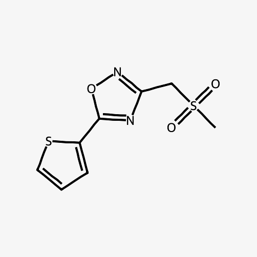 CS(=O)(=O)Cc1noc(-c2cccs2)n1